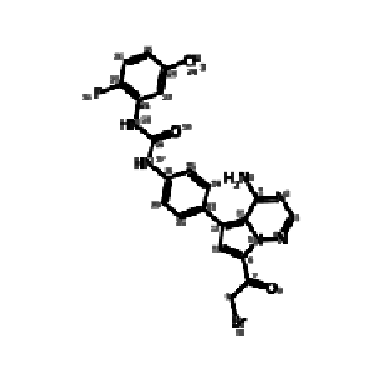 Nc1ncnn2c(C(=O)CBr)cc(-c3ccc(NC(=O)Nc4cc(C(F)(F)F)ccc4F)cc3)c12